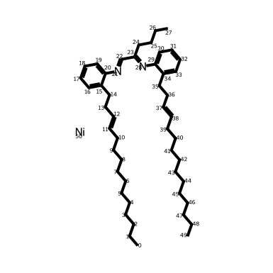 CCCCCCCCCCCC=CCCc1ccccc1N=CC(CCCC)=Nc1ccccc1CCC=CCCCCCCCCCCC.[Ni]